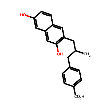 CC(Cc1ccc(C(=O)O)cc1)Cc1cc2ccc(O)cc2cc1O